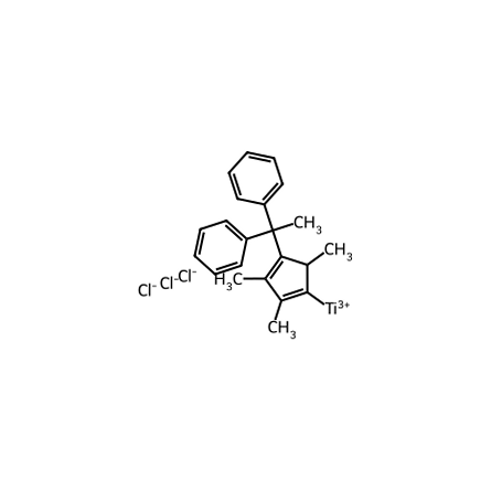 CC1=[C]([Ti+3])C(C)C(C(C)(c2ccccc2)c2ccccc2)=C1C.[Cl-].[Cl-].[Cl-]